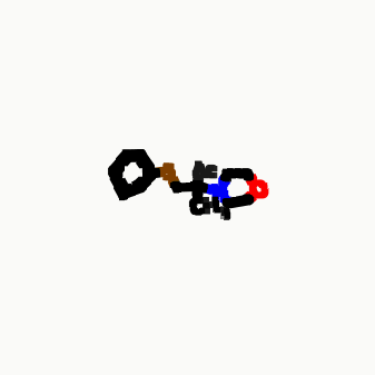 CC(=O)C(C)(CSc1ccccc1)N1CCOCC1